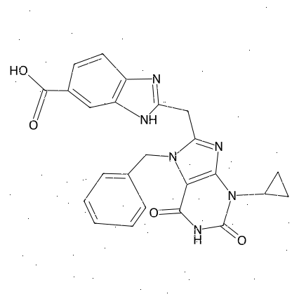 O=C(O)c1ccc2nc(Cc3nc4c(c(=O)[nH]c(=O)n4C4CC4)n3Cc3ccccc3)[nH]c2c1